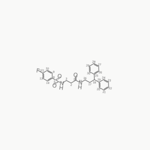 O=C(CCNS(=O)(=O)c1ccc(F)cc1)NCCC(c1ccccc1)c1ccccc1